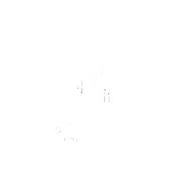 CC(C)(C)[Si](C)(C)Oc1cccc(NCC(=O)Nc2ccccc2Sc2ccccc2)c1